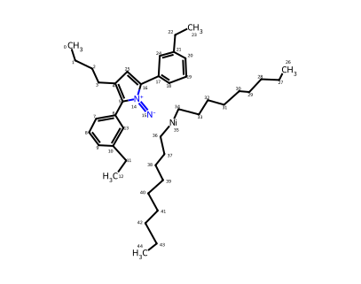 CCCCC1=C(c2cccc(CC)c2)[N+](=[N-])C(c2cccc(CC)c2)=C1.CCCCCCCC[CH2][Ni][CH2]CCCCCCCC